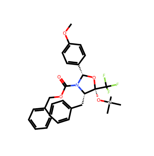 COc1ccc([C@@H]2O[C@@](O[Si](C)(C)C)(C(F)(F)F)[C@H](Cc3ccccc3)N2C(=O)OCc2ccccc2)cc1